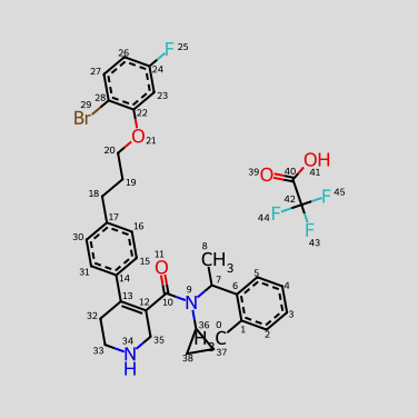 Cc1ccccc1C(C)N(C(=O)C1=C(c2ccc(CCCOc3cc(F)ccc3Br)cc2)CCNC1)C1CC1.O=C(O)C(F)(F)F